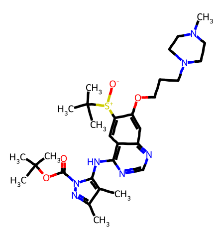 Cc1nn(C(=O)OC(C)(C)C)c(Nc2ncnc3cc(OCCCN4CCN(C)CC4)c([S+]([O-])C(C)(C)C)cc23)c1C